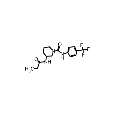 CCC(=O)NC1CCCN(C(=O)Nc2ccc(C(F)(F)F)cc2)C1